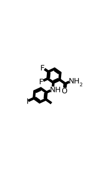 Cc1cc(I)ccc1Nc1c(C(N)=O)ccc(F)c1F